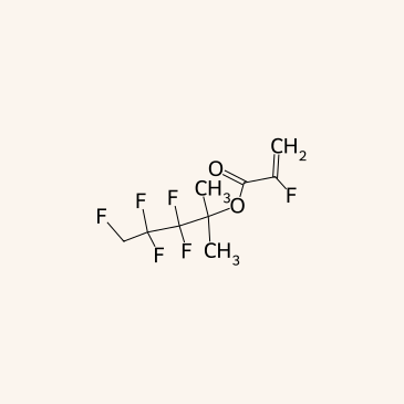 C=C(F)C(=O)OC(C)(C)C(F)(F)C(F)(F)CF